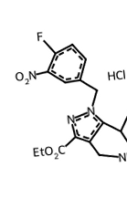 CCOC(=O)c1nn(Cc2ccc(F)c([N+](=O)[O-])c2)c2c1CNCC2C.Cl